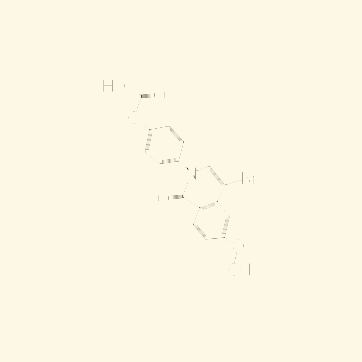 COc1ccc2c(=O)n(-c3ccc(OC(C)=O)cc3)cc(Br)c2c1